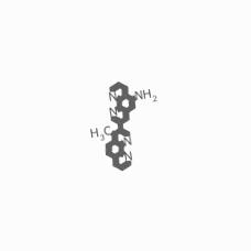 Cc1c(-c2cnc3c(c2)cc(N)c2cccnc23)cnc2c1ccc1cccnc12